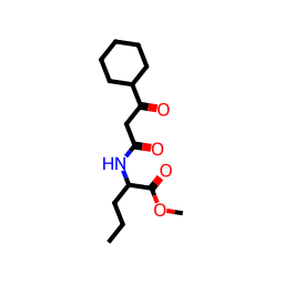 CCCC(NC(=O)CC(=O)C1CCCCC1)C(=O)OC